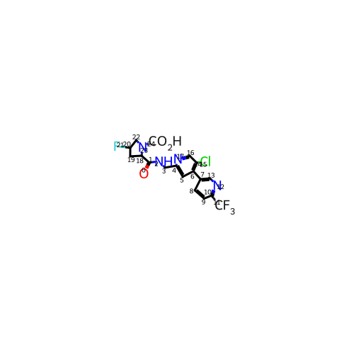 O=C(NCc1cc(-c2ccc(C(F)(F)F)nc2)c(Cl)cn1)C1CC(F)CN1C(=O)O